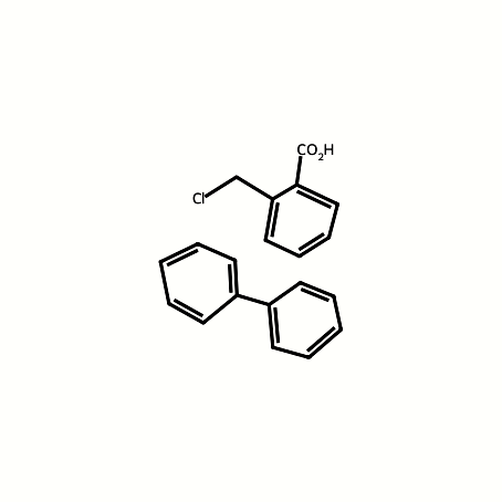 O=C(O)c1ccccc1CCl.c1ccc(-c2ccccc2)cc1